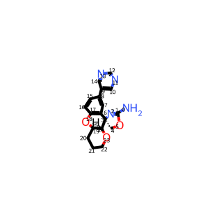 NC1=N[C@]2(CO1)c1cc(-c3cncnc3)ccc1OC1CCCO[C@@H]12